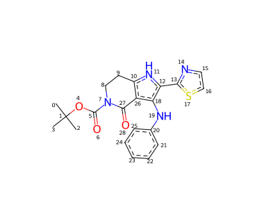 CC(C)(C)OC(=O)N1CCc2[nH]c(-c3nccs3)c(Nc3ccccc3)c2C1=O